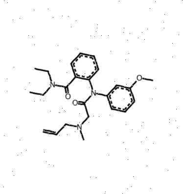 C=CCN(C)CC(=O)N(c1cccc(OC)c1)c1ccccc1C(=O)N(CC)CC